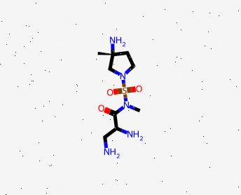 CN(C(=O)C(N)CN)S(=O)(=O)N1CC[C@@](C)(N)C1